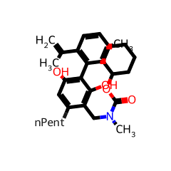 C=C(C)c1ccc(C)cc1-c1c(O)cc(CCCCC)c(CN(C)C(=O)OC2CCCCC2)c1O